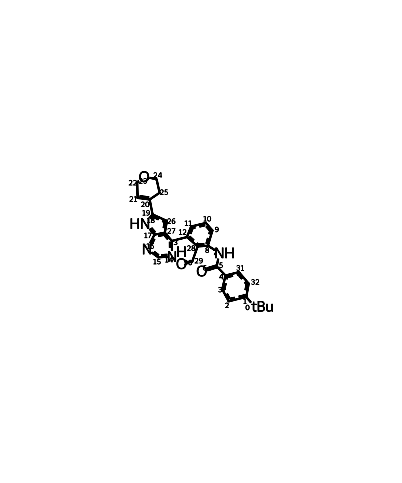 CC(C)(C)c1ccc(C(=O)Nc2cccc(-c3ncnc4[nH]c(C5=CCOCC5)cc34)c2CO)cc1